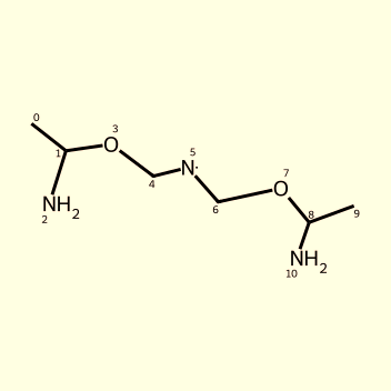 CC(N)OC[N]COC(C)N